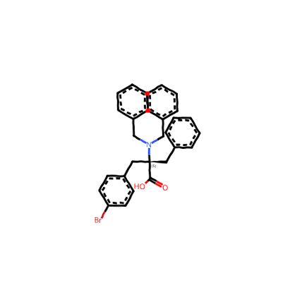 O=C(O)[C@](Cc1ccccc1)(Cc1ccc(Br)cc1)N(Cc1ccccc1)Cc1ccccc1